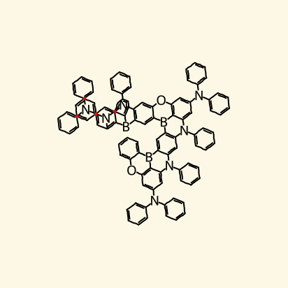 c1ccc(N(c2ccccc2)c2cc3c4c(c2)N(c2ccccc2)c2cc5c(cc2B4c2ccccc2O3)B2c3cc4c(cc3Oc3cc(N(c6ccccc6)c6ccccc6)cc(c32)N5c2ccccc2)N(c2ccccc2)c2cc(N(c3ccccc3)c3ccccc3)cc3c2B4c2ccccc2N3c2ccccc2)cc1